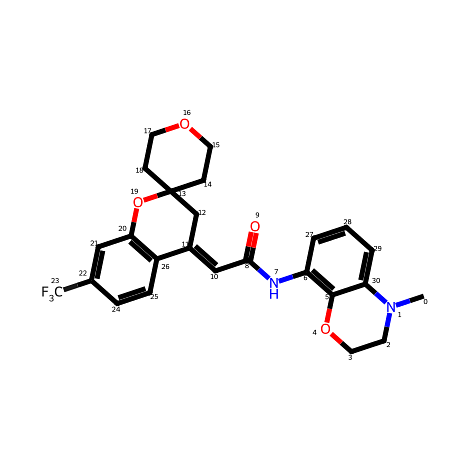 CN1CCOc2c(NC(=O)/C=C3\CC4(CCOCC4)Oc4cc(C(F)(F)F)ccc43)cccc21